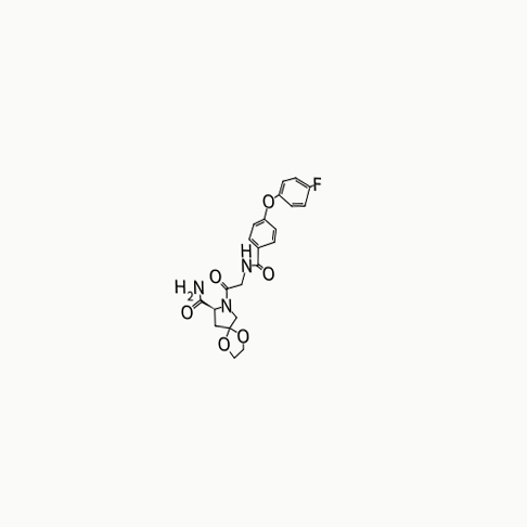 NC(=O)[C@@H]1CC2(CN1C(=O)CNC(=O)c1ccc(Oc3ccc(F)cc3)cc1)OCCO2